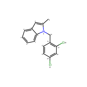 Cc1[c]c2ccccc2n1Cc1ccc(Cl)cc1Cl